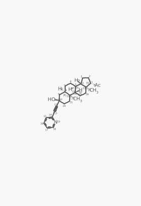 CC(=O)[C@H]1CC[C@H]2[C@@H]3CC[C@@H]4C[C@@](O)(C#Cc5ccccn5)CC[C@]4(C)[C@H]3CC[C@]12C